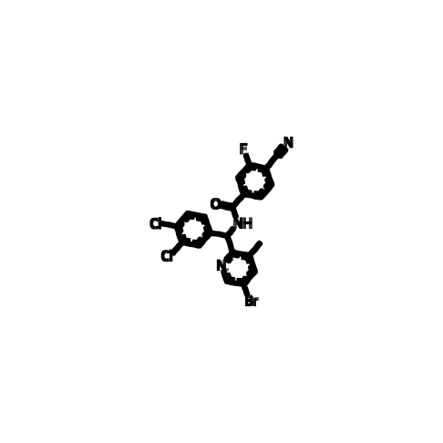 Cc1cc(Br)cnc1C(NC(=O)c1ccc(C#N)c(F)c1)c1ccc(Cl)c(Cl)c1